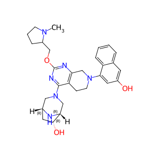 CN1CCCC1COc1nc2c(c(N3C[C@H]4C[C@@H](O)[C@@H](C3)N4)n1)CCN(c1cc(O)cc3ccccc13)C2